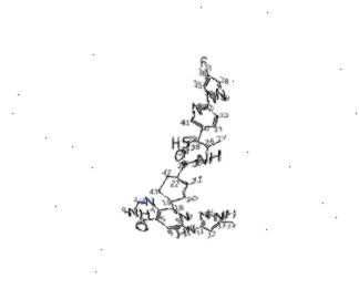 CN/C=N\c1c(C=O)cc(Nc2cc(C)[nH]n2)nc1C1CCC(C(=O)NC(C)C(S)c2ccc(-n3cc(F)cn3)nc2)CC1